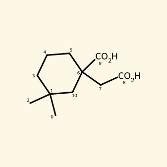 CC1(C)CCCC(CC(=O)O)(C(=O)O)C1